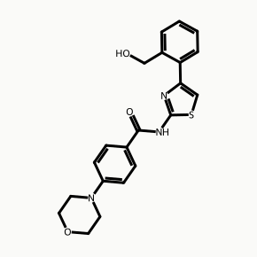 O=C(Nc1nc(-c2ccccc2CO)cs1)c1ccc(N2CCOCC2)cc1